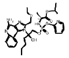 CCCCC(O)(COP(=O)(N[C@@H](C)C(=O)OC(C)C)Oc1ccccn1)n1c(COCC)nc2c(N)nc3ccccc3c21